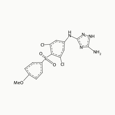 COc1ccc(S(=O)(=O)c2c(Cl)cc(Nc3n[nH]c(N)n3)cc2Cl)cc1